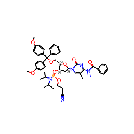 COc1ccc(C(OC[C@@H]2O[C@@H](n3cc(C)c(NC(=O)c4ccccc4)nc3=O)C[C@H]2OP(OCCC#N)N(C(C)C)C(C)C)(c2ccccc2)c2ccc(OC)cc2)cc1